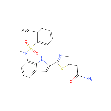 COc1ccccc1S(=O)(=O)N(C)c1cccc2cc(C3=NCC(CC(N)=O)S3)[nH]c12